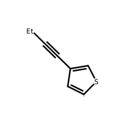 CCC#Cc1c[c]sc1